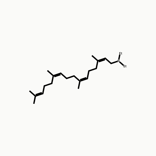 CCN(CC)CC=C(C)CCC=C(C)CCC=C(C)CCC=C(C)C